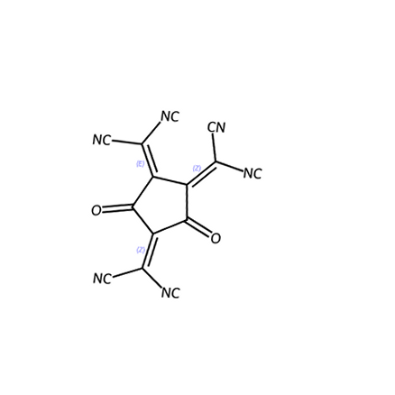 [C-]#[N+]/C(C#N)=C1\C(=O)C(=C(/C#N)[N+]#[C-])/C(=C(/C#N)[N+]#[C-])C1=O